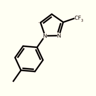 Cc1ccc(-n2[c]cc(C(F)(F)F)n2)cc1